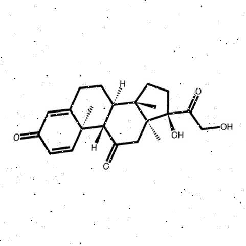 C[C@]12CC(=O)[C@H]3[C@@H](CCC4=CC(=O)C=C[C@@]43C)[C@]1(C)CC[C@]2(O)C(=O)CO